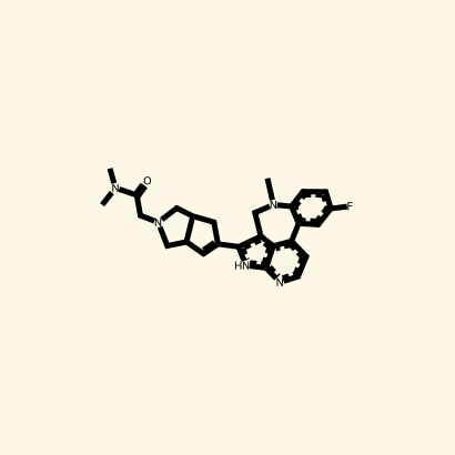 CN(C)C(=O)CN1CC2C=C(c3[nH]c4nccc5c4c3CN(C)c3ccc(F)cc3-5)CC2C1